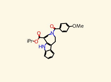 COc1ccc(C(=O)N2C=C(C(=O)OC(C)C)c3[nH]c4ccccc4c3CC2)cc1